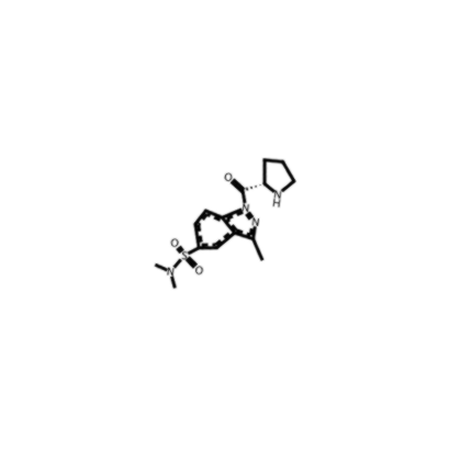 Cc1nn(C(=O)[C@@H]2CCCN2)c2ccc(S(=O)(=O)N(C)C)cc12